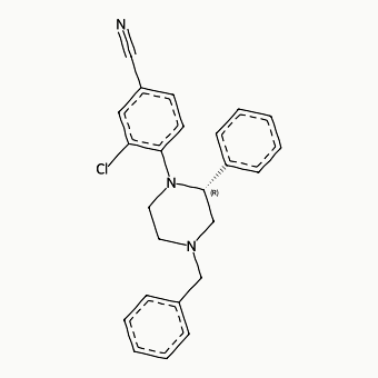 N#Cc1ccc(N2CCN(Cc3ccccc3)C[C@H]2c2ccccc2)c(Cl)c1